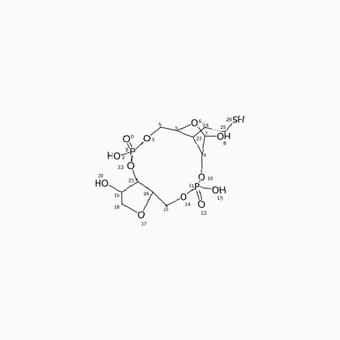 O=P1(O)OCC2OC(O)C(OP(=O)(O)OCC3OCC(O)C3O1)C2CCS